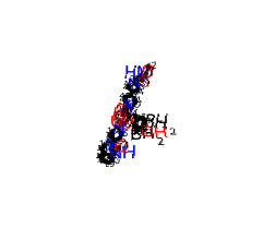 Bc1cc(C[C@@H](OC(=O)N2CCC(N3CCc4ccccc4NC3=O)CC2)C(=O)N2CCC(C3CCN(CC(=O)NOC)CC3)CC2)cc(B)c1O